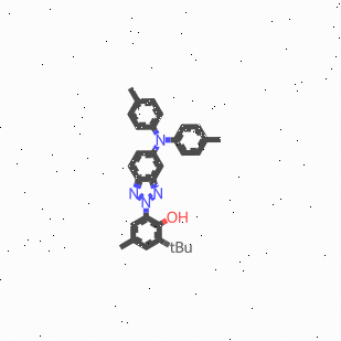 Cc1ccc(N(c2ccc(C)cc2)c2ccc3nn(-c4cc(C)cc(C(C)(C)C)c4O)nc3c2)cc1